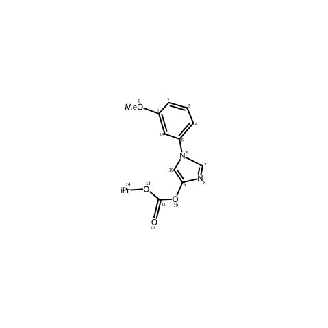 COc1cccc(-n2cnc(OC(=O)OC(C)C)c2)c1